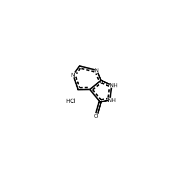 Cl.O=c1[nH][nH]c2ncncc12